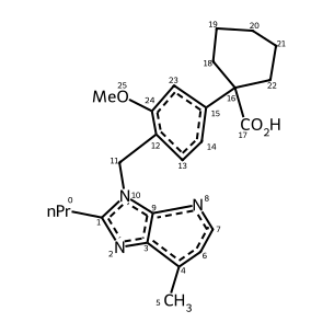 CCCc1nc2c(C)ccnc2n1Cc1ccc(C2(C(=O)O)CCCCC2)cc1OC